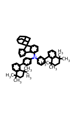 CC1(C)CCC(C)(C)c2c(-c3ccc(N(c4cccc(-c5cccc6c5C(C)(C)CCC6(C)C)c4)c4cccc5c4-c4ccccc4C54C5CC6CC7CC4C75C6)cc3)cccc21